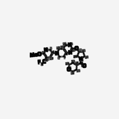 COc1ncc(N2CCc3nc(OC4CCN(C(=O)C5CCOCC5)C4)ncc3C2)cc1C(F)(F)F